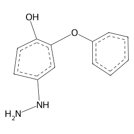 NNc1ccc(O)c(Oc2ccccc2)c1